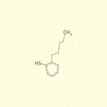 CCCCCc1ccccc1S